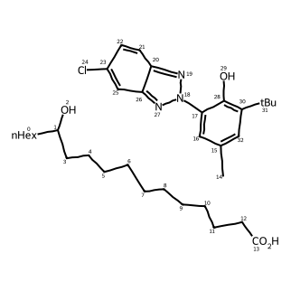 CCCCCCC(O)CCCCCCCCCCC(=O)O.Cc1cc(-n2nc3ccc(Cl)cc3n2)c(O)c(C(C)(C)C)c1